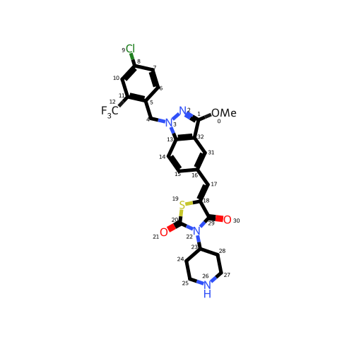 COc1nn(Cc2ccc(Cl)cc2C(F)(F)F)c2ccc(/C=C3\SC(=O)N(C4CCNCC4)C3=O)cc12